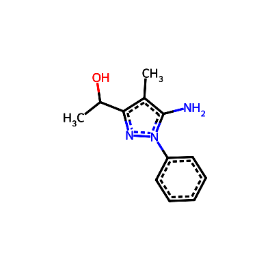 Cc1c(C(C)O)nn(-c2ccccc2)c1N